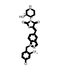 O=C1S/C(=C\c2ccc3c(cnn3Cc3ccc(Cl)cc3C(F)(F)F)c2)C(=O)N1[C@H]1CCNC[C@@H]1O